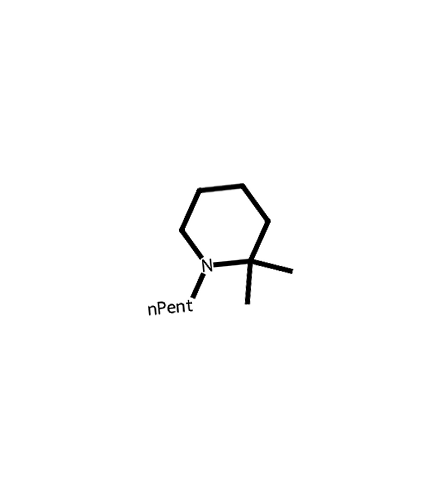 CCCCCN1CCCCC1(C)C